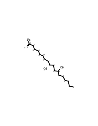 CCCCCCC(O)CCCCCCCCCCC(=O)O.[Cd]